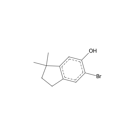 CC1(C)CCc2cc(Br)c(O)cc21